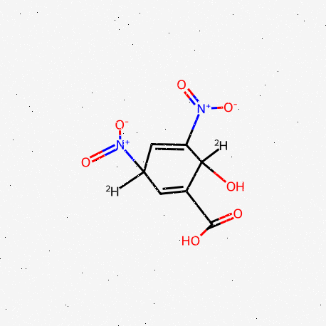 [2H]C1(O)C(C(=O)O)=CC([2H])([N+](=O)[O-])C=C1[N+](=O)[O-]